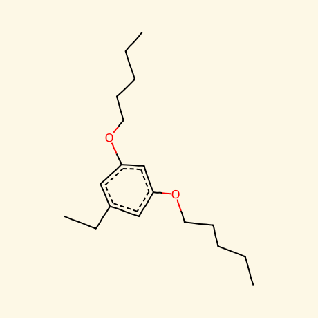 CCCCCOc1cc(CC)cc(OCCCCC)c1